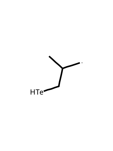 [CH2]C(C)C[TeH]